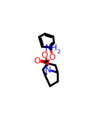 NOC1CC2CCC(C1)N2C(=O)Oc1ccccc1